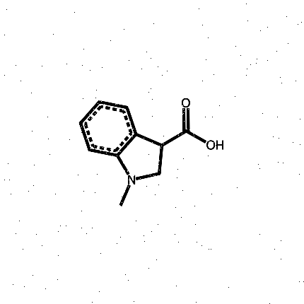 CN1CC(C(=O)O)c2ccccc21